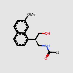 CCC(=O)NC[C@H](CO)c1cccc2ccc(OC)cc12